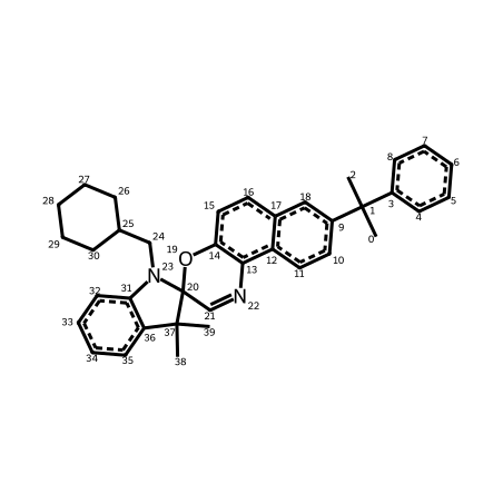 CC(C)(c1ccccc1)c1ccc2c3c(ccc2c1)OC1(C=N3)N(CC2CCCCC2)c2ccccc2C1(C)C